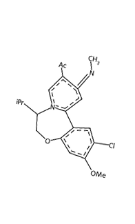 C/N=c1/cc2n(cc1C(C)=O)C(C(C)C)COc1cc(OC)c(Cl)cc1-2